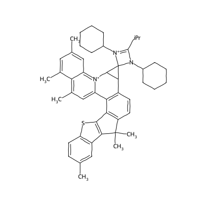 Cc1ccc2sc3c(c2c1)C(C)(C)c1ccc2c(c1-3)-c1cc(C)c3c(C)cc(C)cc3[n+]1C1C2C12N(C1CCCCC1)C(C(C)C)=[N+]2C1CCCCC1